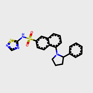 O=S(=O)(Nc1ncns1)c1ccc2c(N3CCCC3c3ccccc3)cccc2c1